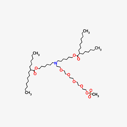 CCCCCCCCC(CCCCCC)C(=O)OCCCCCCN(CCCCCCOC(=O)C(CCCCCC)CCCCCCCC)CCOCCOCCOCCOCCOS(C)(=O)=O